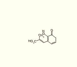 CC(=CC1=C(O)C(=O)CC=C1)C(=O)O